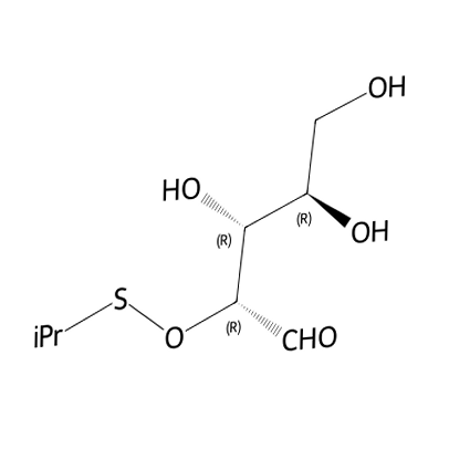 CC(C)SO[C@@H](C=O)[C@H](O)[C@H](O)CO